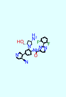 N#Cc1ccncc1-c1ccc(NC(=O)c2ccnc(-c3c(F)cccc3F)n2)c(N2C[C@@H](N)C[C@H]2CO)c1